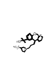 CC(C)(O)c1ccc2c(c1)/C(=C\CCN1CCC(C(=O)O)C1)c1cccnc1CO2